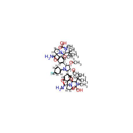 CO[C@H]1[C@H](OC)[C@H](c2ccc([C@]3(C(N)=O)CCCN3C(=O)[C@@H](N(C)C(=O)O)C(C)(C)C)cc2)N(c2ccc(F)cc2)[C@H]1c1ccc([C@]2(C(N)=O)CCCN2C(=O)[C@@H](N(C)C(=O)O)C(C)(C)C)cc1